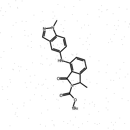 CC1c2cccc(Nc3ccc4c(cnn4C)c3)c2C(=O)N1C(=O)OC(C)(C)C